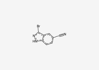 N#Cc1ccc2[nH]nc(Br)c2c1